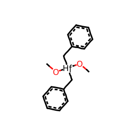 C[O][Hf]([CH2]c1ccccc1)([CH2]c1ccccc1)[O]C